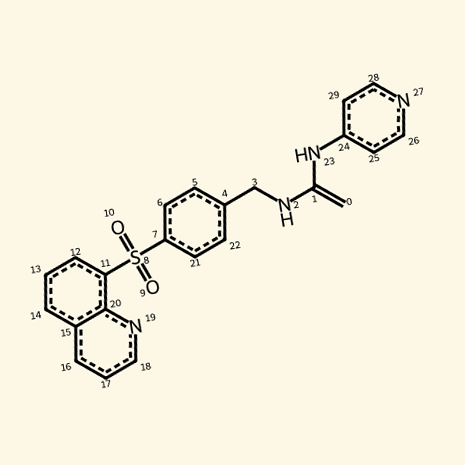 C=C(NCc1ccc(S(=O)(=O)c2cccc3cccnc23)cc1)Nc1ccncc1